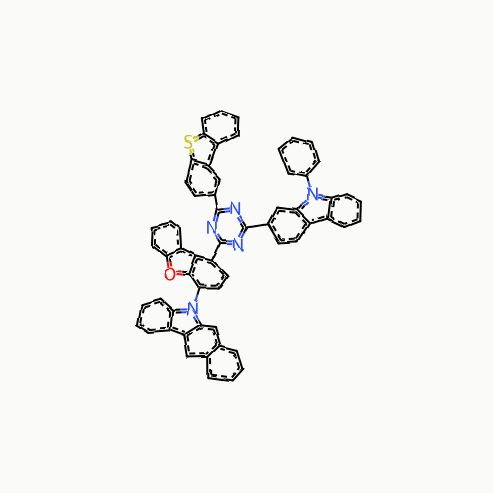 c1ccc(-n2c3ccccc3c3ccc(-c4nc(-c5ccc6sc7ccccc7c6c5)nc(-c5ccc(-n6c7ccccc7c7cc8ccccc8cc76)c6oc7ccccc7c56)n4)cc32)cc1